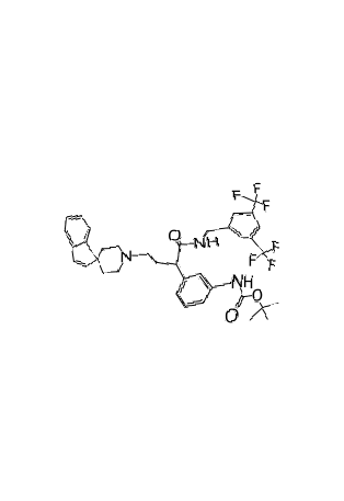 CC(C)(C)OC(=O)Nc1cccc(C(CCN2CCC3(C=Cc4ccccc43)CC2)C(=O)NCc2cc(C(F)(F)F)cc(C(F)(F)F)c2)c1